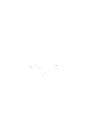 C\C=C/C(F)=C\C(F)=C(/C)C1C=C(OC2Cc3cc4ccc(=O)oc4cc3OC2(C)C)N=CN1